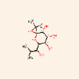 CC(C)=C(O)[C@H]1O[C@]2(OC2(C)C)[C@H](O)[C@@H](O)[C@H]1O